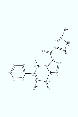 CC(C)c1cc(C(=O)c2cnn3c(=O)c(C(C)C)c(-c4ccccc4)n(C)c23)n[nH]1